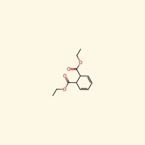 CCOC(=O)C1C=CC=CC1C(=O)OCC